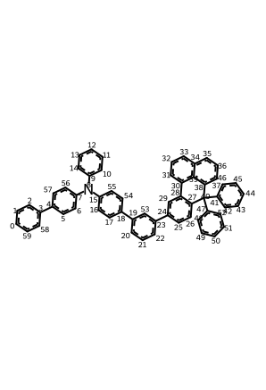 c1ccc(-c2ccc(N(c3ccccc3)c3ccc(-c4cccc(-c5ccc6c(c5)-c5cccc7cccc(c57)C6(c5ccccc5)c5ccccc5)c4)cc3)cc2)cc1